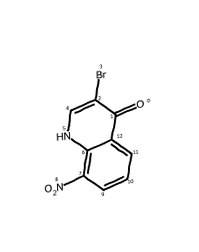 O=c1c(Br)c[nH]c2c([N+](=O)[O-])cccc12